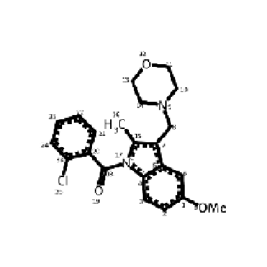 COc1ccc2c(c1)c(CN1CCOCC1)c(C)n2C(=O)c1ccccc1Cl